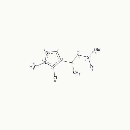 C[C@@H](N[S@@+]([O-])C(C)(C)C)c1cnn(C)c1Cl